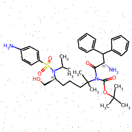 CC(C)N([C@H](CO)CCCC(C)(C)N(C(=O)OC(C)(C)C)C(=O)[C@@H](N)C(c1ccccc1)c1ccccc1)S(=O)(=O)c1ccc(N)cc1